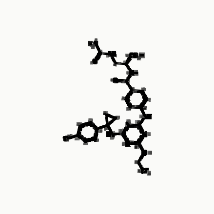 NC(=O)NC[C@H](NC(=O)c1ccc(Nc2nc(NC3(c4ccc(Cl)cc4)CC3)nc(OCC(F)(F)F)n2)cc1)C(=O)O